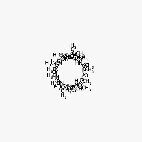 C/C=C/CC(C)C(C)C1C(=O)NC(CC)C(=O)N(C)CC(=O)CN(C)C(CC(C)C)C(=O)NC(C(C)C)C(=O)N(C)C(CC(C)C)C(=O)NC(C)C(=O)NC(C)C(=O)N(C)C(CCC)C(=O)N(C)C(CC(C)C)C(=O)N(C)C(C(C)C)C(=O)N1C